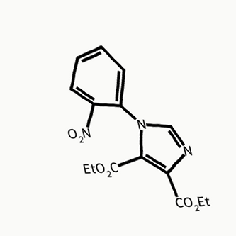 CCOC(=O)c1ncn(-c2ccccc2[N+](=O)[O-])c1C(=O)OCC